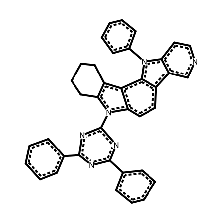 c1ccc(-c2nc(-c3ccccc3)nc(-n3c4c(c5c3ccc3c6cnccc6n(-c6ccccc6)c35)CCCC4)n2)cc1